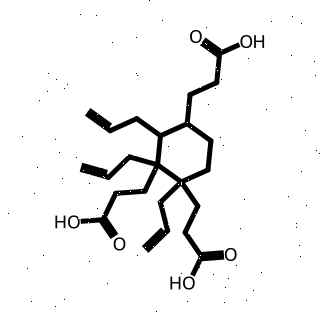 C=CCC1C(CCC(=O)O)CCC(CC=C)(CCC(=O)O)C1(CC=C)CCC(=O)O